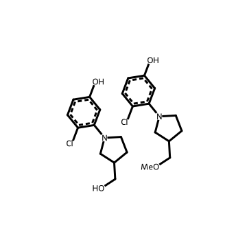 COCC1CCN(c2cc(O)ccc2Cl)C1.OCC1CCN(c2cc(O)ccc2Cl)C1